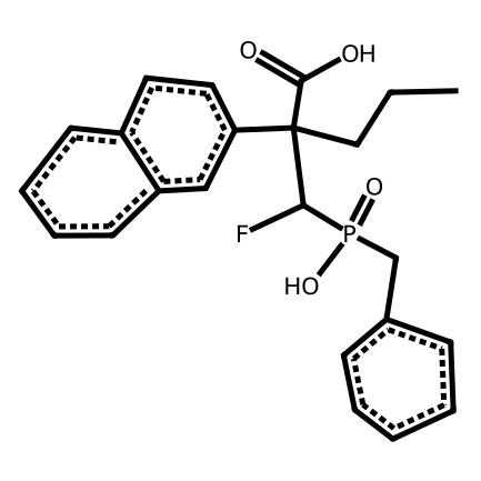 CCCC(C(=O)O)(c1ccc2ccccc2c1)C(F)P(=O)(O)Cc1ccccc1